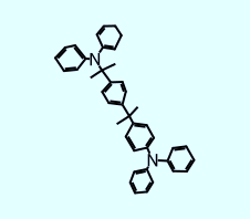 CC(C)(c1ccc(N(c2ccccc2)c2ccccc2)cc1)c1ccc(C(C)(C)N(C2=CCCC=C2)c2ccccc2)cc1